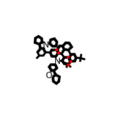 CC1C=c2c(n(-c3ccccc3)c3ccccc23)=C(c2cccc(N(c3ccc4oc5ccccc5c4c3)c3ccccc3-c3cccc4cccc(-c5cc(C(C)(C)C)cc(C(C)(C)C)c5)c34)c2)C1